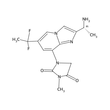 C[C@@H](N)c1cn2cc(C(C)(F)F)cc(N3CC(=O)N(C)C3=O)c2n1